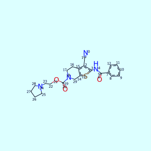 N#Cc1c(NC(=O)c2ccccc2)sc2c1CCN(C(=O)OCCN1CCCC1)C2